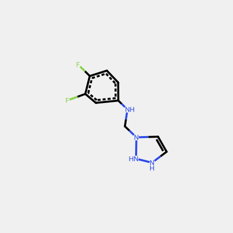 Fc1ccc(NCN2C=CNN2)cc1F